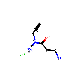 C#CCN(C)C(=O)CCN.Cl.N